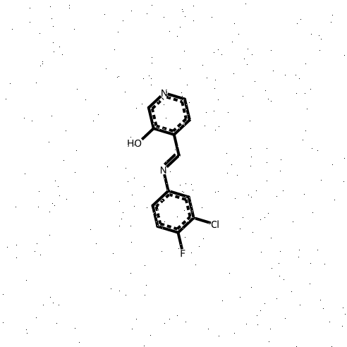 Oc1cnccc1/C=N/c1ccc(F)c(Cl)c1